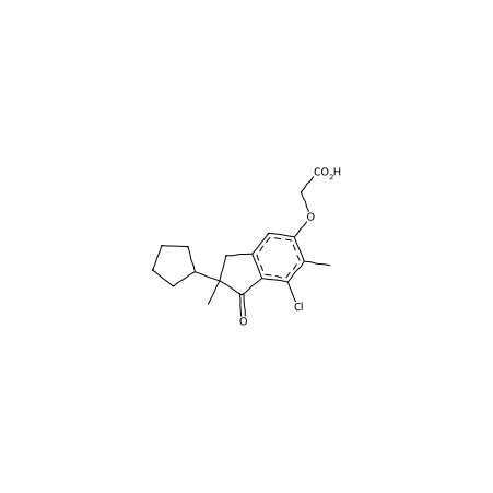 Cc1c(OCC(=O)O)cc2c(c1Cl)C(=O)C(C)(C1CCCC1)C2